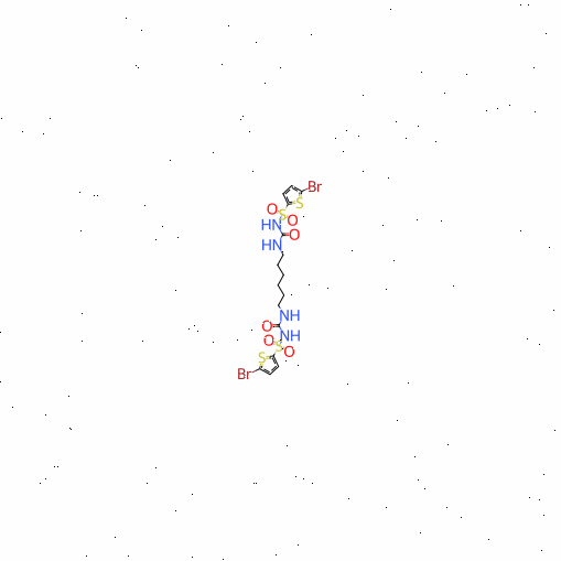 O=C(NCCCCCCNC(=O)NS(=O)(=O)c1ccc(Br)s1)NS(=O)(=O)c1ccc(Br)s1